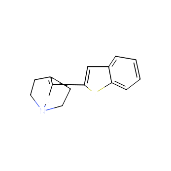 c1ccc2sc(C3=C4CCN(CC4)C3)cc2c1